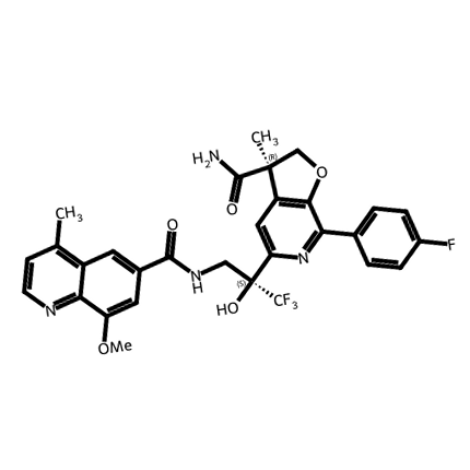 COc1cc(C(=O)NC[C@](O)(c2cc3c(c(-c4ccc(F)cc4)n2)OC[C@]3(C)C(N)=O)C(F)(F)F)cc2c(C)ccnc12